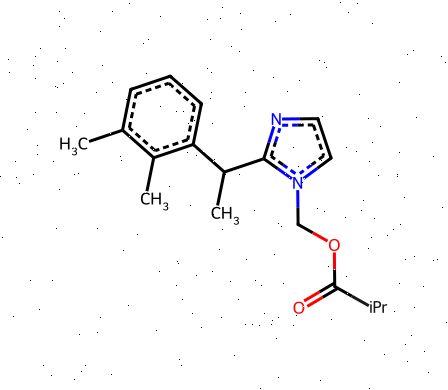 Cc1cccc(C(C)c2nccn2COC(=O)C(C)C)c1C